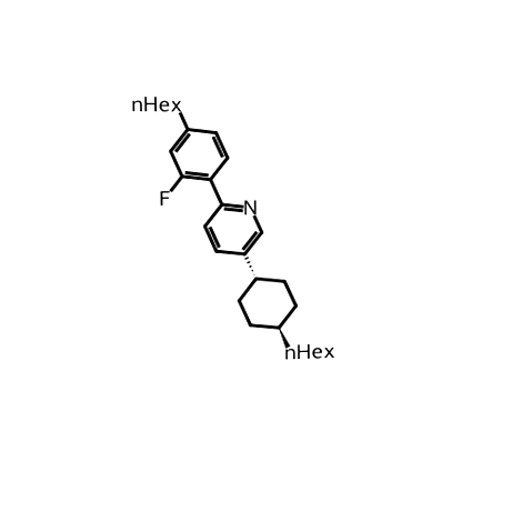 CCCCCCc1ccc(-c2ccc([C@H]3CC[C@H](CCCCCC)CC3)cn2)c(F)c1